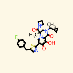 C[C@H](C1CC1)N1C[C@](C)(C(=O)N2CCC2)n2cc(-c3ncc(Cc4ccc(F)cc4)s3)c(=O)c(O)c2C1=O